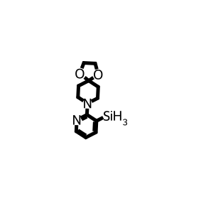 [SiH3]c1cccnc1N1CCC2(CC1)OCCO2